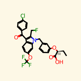 CC[C@H](Oc1cccc(Cn2c(CF)c(C(=O)c3ccc(Cl)cc3)c3ccc(OC(F)(F)F)cc32)c1)C(=O)O